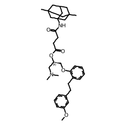 COc1cccc(CCc2ccccc2OC[C@@H](CN(C)C)OC(=O)CCC(=O)NC23CC4CC(C)(CC(C)(C4)C2)C3)c1